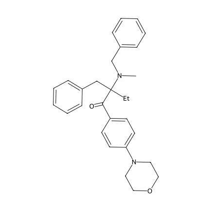 CCC(Cc1ccccc1)(C(=O)c1ccc(N2CCOCC2)cc1)N(C)Cc1ccccc1